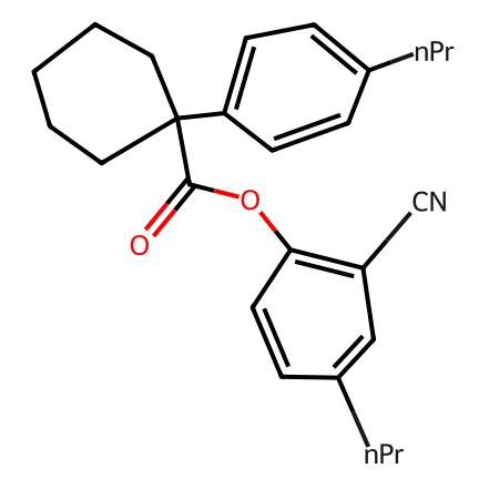 CCCc1ccc(C2(C(=O)Oc3ccc(CCC)cc3C#N)CCCCC2)cc1